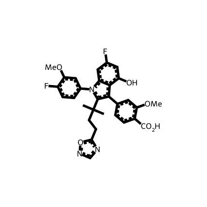 COc1cc(-n2c(C(C)(C)CCc3ncno3)c(-c3ccc(C(=O)O)c(OC)c3)c3c(O)cc(F)cc32)ccc1F